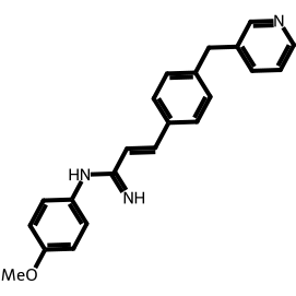 COc1ccc(NC(=N)/C=C/c2ccc(Cc3cccnc3)cc2)cc1